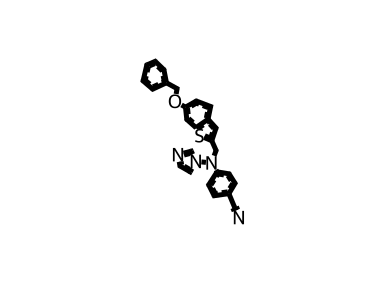 N#Cc1ccc(N(Cc2cc3ccc(OCc4ccccc4)cc3s2)n2ccnc2)cc1